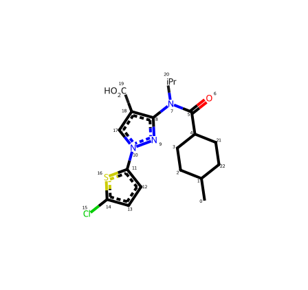 CC1CCC(C(=O)N(c2nn(-c3ccc(Cl)s3)cc2C(=O)O)C(C)C)CC1